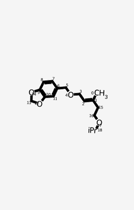 C/C(=C\COCc1ccc2c(c1)OCO2)CCOC(C)C